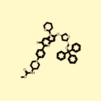 COC(=O)NC1CCN(c2ccc(-c3nc4cc(O[C@@H]5CO[C@H](COC(c6ccccc6)(c6ccccc6)c6ccccc6)C5)n(C5CCCCO5)c4cc3F)cc2)CC1